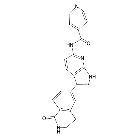 O=C(Nc1ccc2c(-c3ccc4c(c3)CCNC4=O)c[nH]c2n1)c1ccncc1